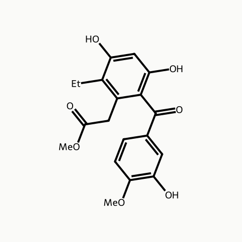 CCc1c(O)cc(O)c(C(=O)c2ccc(OC)c(O)c2)c1CC(=O)OC